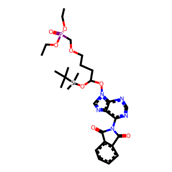 CCOP(=O)(COCCCC(On1cnc2c(N3C(=O)c4ccccc4C3=O)ncnc21)O[Si](C)(C)C(C)(C)C)OCC